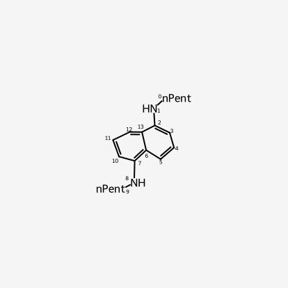 CCCCCNc1cccc2c(NCCCCC)cccc12